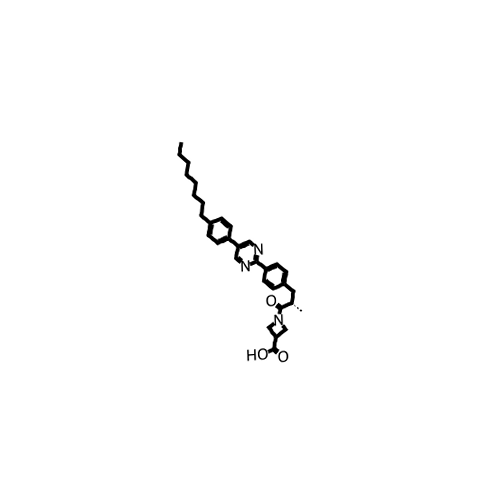 CCCCCCCCc1ccc(-c2cnc(-c3ccc(C[C@H](C)C(=O)N4CC(C(=O)O)C4)cc3)nc2)cc1